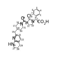 O=C(O)C(c1ccccc1Cl)N1CC[C@@H](C(=O)N2CCC(Cc3ccc4c(n3)NCCC4)CC2)C1